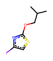 CC(C)COc1nc(I)cs1